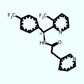 O=C(Cc1cccnc1)N[C@@H](c1ccc(C(F)(F)F)cc1)c1ncccc1C(F)(F)F